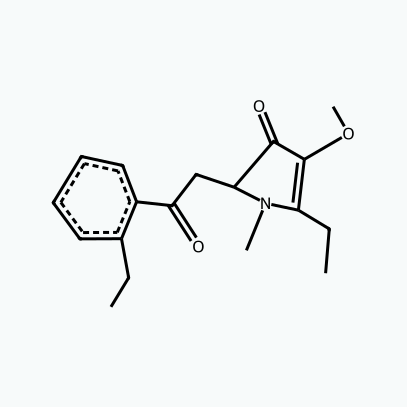 CCC1=C(OC)C(=O)C(CC(=O)c2ccccc2CC)N1C